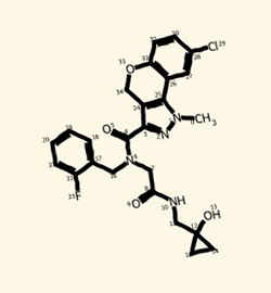 Cn1nc(C(=O)N(CC(=O)NCC2(O)CC2)Cc2ccccc2F)c2c1-c1cc(Cl)ccc1OC2